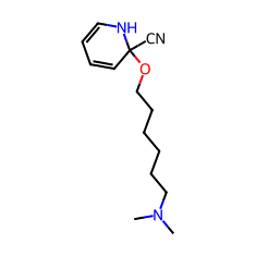 CN(C)CCCCCCOC1(C#N)C=CC=CN1